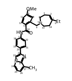 CCC1=CCCN(Cc2cc(OC)ccc2C(=O)Nc2ccc(-c3cn4cccc(C)c4n3)cc2)CC1